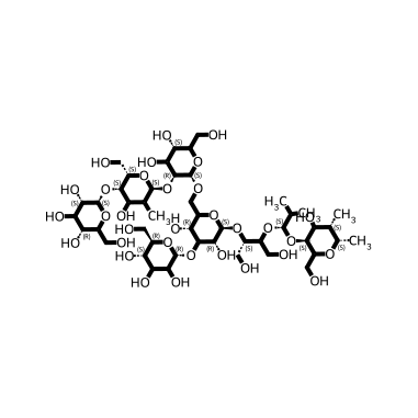 CC(C)[C@@H](OC(CO)[C@H](CO)O[C@@H]1OC(CO[C@H]2OC(CO)[C@@H](O)C(O)[C@H]2O[C@@H]2O[C@@H](CO)[C@@H](O[C@@H]3OC(CO)[C@H](O)C(O)[C@@H]3O)C(O)C2C)[C@@H](O)C(O[C@H]2O[C@H](CO)[C@@H](O)C(O)C2O)[C@H]1O)O[C@@H]1C(CO)O[C@@H](C)[C@@H](C)C1O